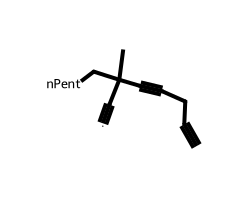 [C]#CC(C)(C#CCC#C)CCCCCC